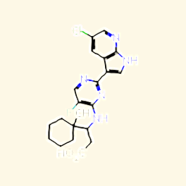 CC1(C(CC(=O)O)Nc2nc(-c3c[nH]c4ncc(Cl)cc34)ncc2F)CCCCC1